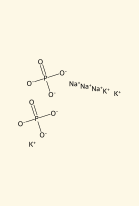 O=P([O-])([O-])[O-].O=P([O-])([O-])[O-].[K+].[K+].[K+].[Na+].[Na+].[Na+]